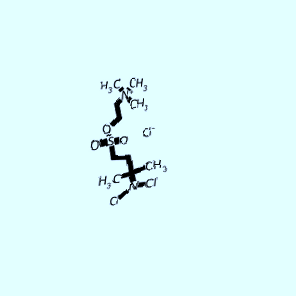 CC(C)(CCS(=O)(=O)OCC[N+](C)(C)C)N(Cl)Cl.[Cl-]